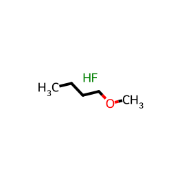 CCCCOC.F